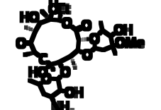 CC[C@H]1OC(=O)[C@H](C)[C@@H](OC2CC(C)(OC)C(O)C(C)O2)[C@H](C)[C@@H](OC2OC(C)CC(N)C2O)[C@](C)(O)C[C@@H](C)C(=O)[C@H](C)[C@@H](O)[C@]1(C)O